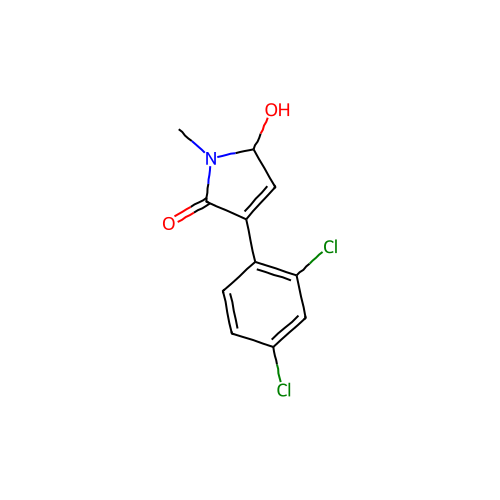 CN1C(=O)C(c2ccc(Cl)cc2Cl)=CC1O